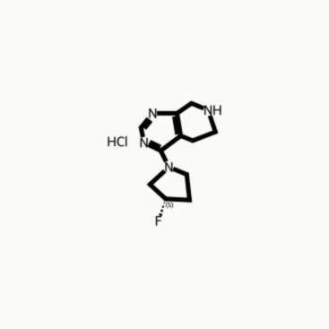 Cl.F[C@H]1CCN(c2ncnc3c2CCNC3)C1